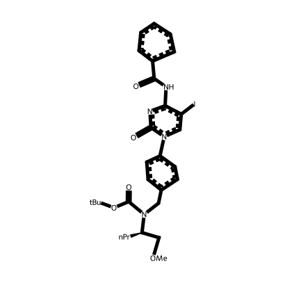 CCC[C@H](COC)N(Cc1ccc(-n2cc(I)c(NC(=O)c3ccccc3)nc2=O)cc1)C(=O)OC(C)(C)C